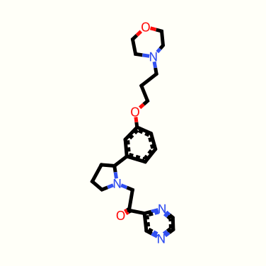 O=C(CN1CCCC1c1cccc(OCCCN2CCOCC2)c1)c1cnccn1